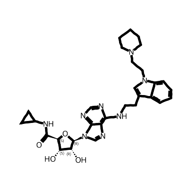 O=C(NC1CC1)[C@H]1O[C@@H](n2cnc3c(NCCc4cn(CCN5CCCCC5)c5ccccc45)ncnc32)[C@H](O)[C@@H]1O